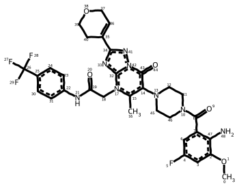 COc1cc(F)cc(C(=O)N2CCN(c3c(C)n(CC(=O)Nc4ccc(C(F)(F)F)cc4)c4nc(C5=CCOCC5)nn4c3=O)CC2)c1N